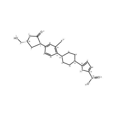 O=C1O[C@@H](CO)CN1c1ccc(N2CCN(c3ccc([N+](=O)[O-])s3)CC2)c(F)c1